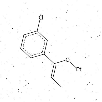 [CH2]COC(=CC)c1cccc(Cl)c1